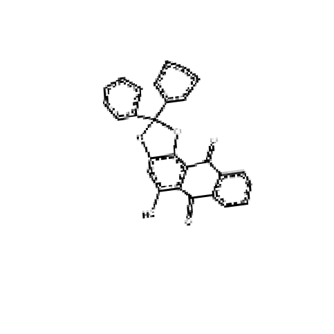 O=C1c2ccccc2C(=O)c2c3c(cc(O)c21)OC(c1ccccc1)(c1ccccc1)O3